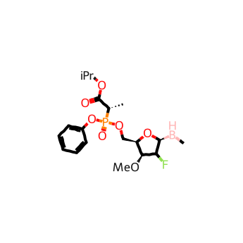 CB[C@@H]1O[C@H](COP(=O)(Oc2ccccc2)[C@@H](C)C(=O)OC(C)C)[C@H](OC)C1F